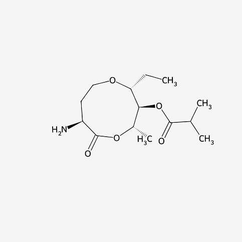 CC[C@H]1OCC[C@H](N)C(=O)O[C@@H](C)[C@@H]1OC(=O)C(C)C